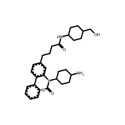 NC1CCC(N(C(=O)O)c2cc(CCCC(=O)NC3CCC(CO)CC3)ccc2-c2ccccc2)CC1